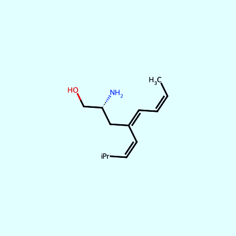 C\C=C/C=C(\C=C/C(C)C)C[C@@H](N)CO